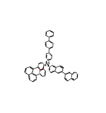 c1ccc(-c2ccc(-c3ccc(N(c4ccc(-c5cccc6cccc(-c7ccccc7)c56)cc4)c4ccc5cc(-c6ccc7ccccc7c6)ccc5c4)cc3)cc2)cc1